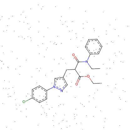 CCOC(=O)C(Cc1cnn(-c2ccc(Cl)cc2)c1)C(=O)N(CC)c1ccccc1